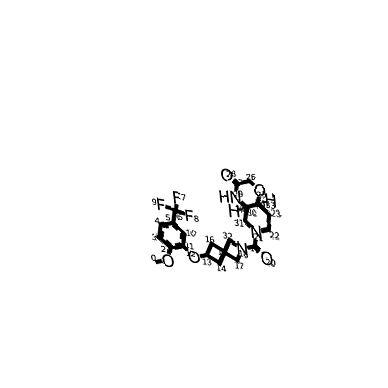 COc1ccc(C(F)(F)F)cc1OC1CC2(C1)CN(C(=O)N1CC[C@@H]3OCC(=O)N[C@@H]3C1)C2